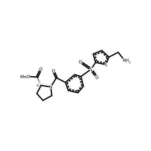 COC(=O)[C@H]1CCCN1C(=O)c1cccc(S(=O)(=O)c2ccc(CN)s2)c1